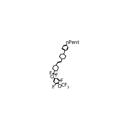 CCCCCc1ccc(C2CCC(/C=C/C3CCC(C(F)(F)Oc4cc(F)c(OC(F)(F)F)c(F)c4)CC3)CC2)cc1